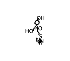 Cn1nnnc1SCCCC(=O)N(CCO)C1CCC(O)CC1